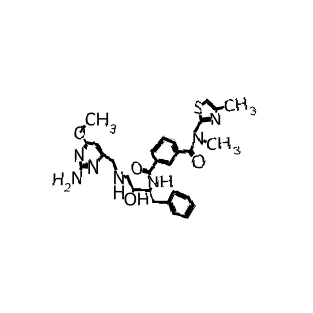 COc1cc(CNC[C@@H](O)[C@H](Cc2ccccc2)NC(=O)c2cccc(C(=O)N(C)Cc3nc(C)cs3)c2)nc(N)n1